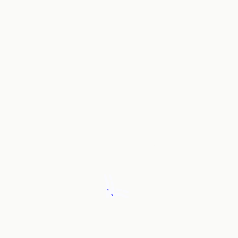 Cc1ccncc1-c1ccc2c(c1C)C2